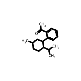 CC(=O)c1ccccc1C1CC(C)CCC1C(C)C